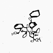 CN(C(CCn1c(=O)c2ccccc2n(CO)c1=O)C(=O)O)S(=O)(=O)c1ccc(Oc2ccccc2)cc1